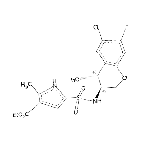 CCOC(=O)c1cc(S(=O)(=O)N[C@@H]2COc3cc(F)c(Cl)cc3[C@H]2O)[nH]c1C